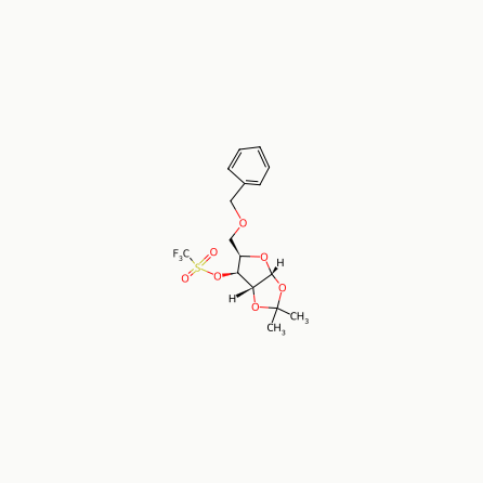 CC1(C)O[C@H]2O[C@H](COCc3ccccc3)[C@H](OS(=O)(=O)C(F)(F)F)[C@H]2O1